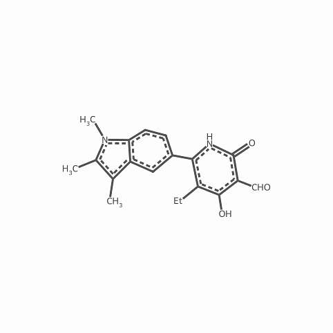 CCc1c(-c2ccc3c(c2)c(C)c(C)n3C)[nH]c(=O)c(C=O)c1O